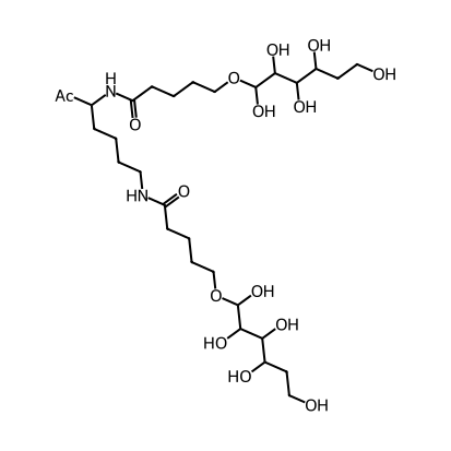 CC(=O)C(CCCCNC(=O)CCCCOC(O)C(O)C(O)C(O)CCO)NC(=O)CCCCOC(O)C(O)C(O)C(O)CCO